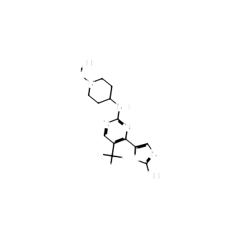 CSN1CCC(Nc2ncc(C(F)(F)F)c(-c3cnc(C)o3)n2)CC1